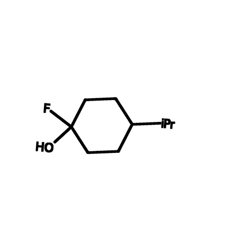 CC(C)C1CCC(O)(F)CC1